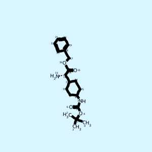 CC(C)(C)OC(=O)NC1CCC([C@H](N)C(=O)OCc2ccccc2)CC1